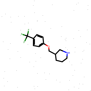 FC(F)(F)c1ccc(OCC2CCCNC2)cc1